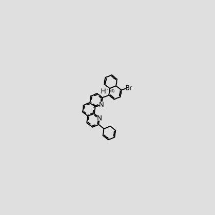 BrC1=CC=C(c2ccc3ccc4ccc(C5C=CC=CC5)nc4c3n2)[C@H]2C=CC=CC12